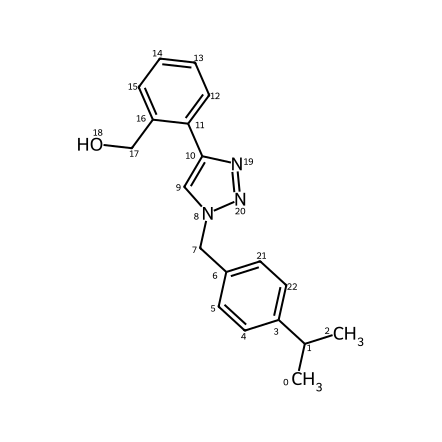 CC(C)c1ccc(Cn2cc(-c3ccccc3CO)nn2)cc1